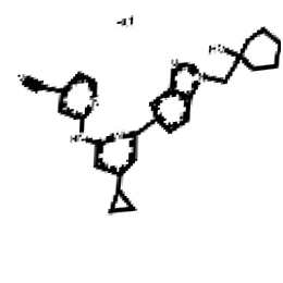 Cl.N#Cc1ccnc(Nc2cc(C3CC3)cc(-c3ccc4c(c3)ncn4CC3(O)CCCCC3)n2)c1